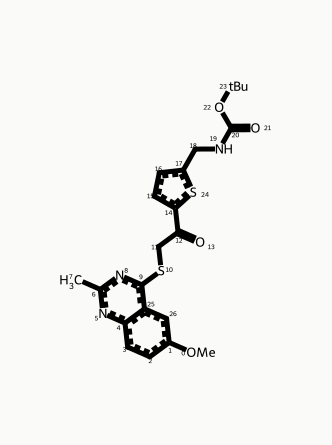 COc1ccc2nc(C)nc(SCC(=O)c3ccc(CNC(=O)OC(C)(C)C)s3)c2c1